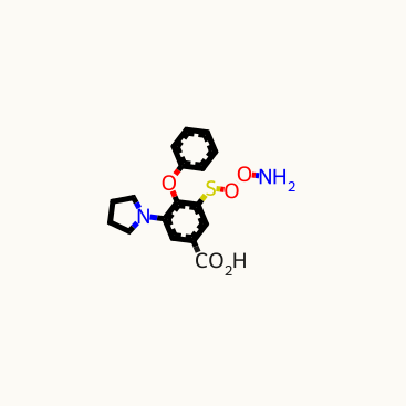 NOOSc1cc(C(=O)O)cc(N2CCCC2)c1Oc1ccccc1